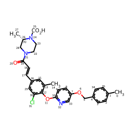 Cc1ccc(COc2ccc(Oc3c(C)cc(C=CC(=O)N4CCN(C(=O)O)[C@@H](C)C4)cc3Cl)nc2)cc1